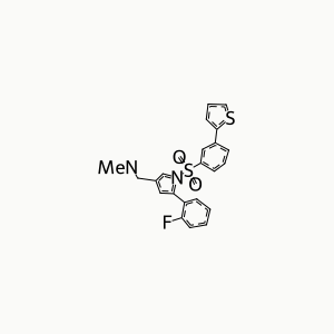 CNCc1cc(-c2ccccc2F)n(S(=O)(=O)c2cccc(-c3cccs3)c2)c1